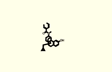 C/C=C\C(=C/C)C(=O)N(C)C1CCC23CCC1C21CCN(CC2CC2)C3Cc2ccc(O)cc21